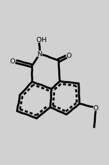 COc1cc2c3c(cccc3c1)C(=O)N(O)C2=O